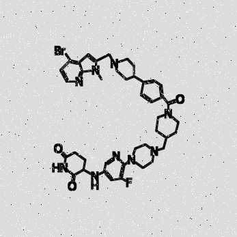 Cn1c(CN2CCC(c3ccc(C(=O)N4CCC(CN5CCN(c6ncc(NC7CCC(=O)NC7=O)cc6F)CC5)CC4)cc3)CC2)cc2c(Br)ccnc21